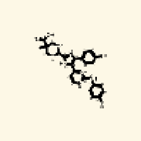 CC1(C(=O)O)COC(c2nc(-c3ccc(F)cc3)c(-c3ccnc(Nc4ccc(F)cc4)n3)[nH]2)OC1